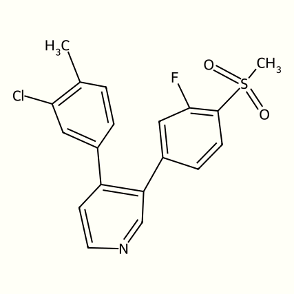 Cc1ccc(-c2ccncc2-c2ccc(S(C)(=O)=O)c(F)c2)cc1Cl